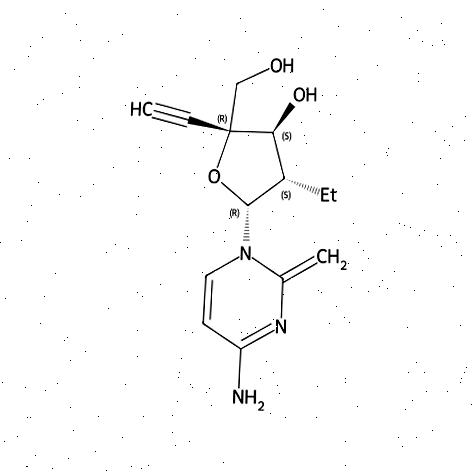 C#C[C@]1(CO)O[C@@H](N2C=CC(N)=NC2=C)[C@@H](CC)[C@@H]1O